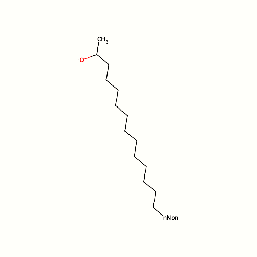 CCCCCCCCCCCCCCCCCCCCCC(C)[O]